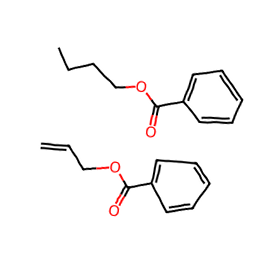 C=CCOC(=O)c1ccccc1.CCCCOC(=O)c1ccccc1